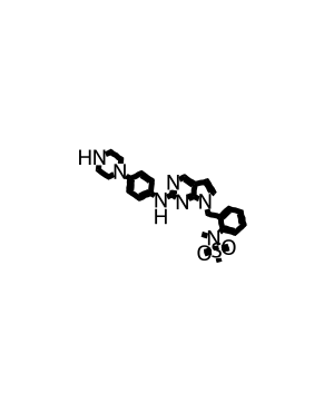 CN(c1ccccc1Cn1ccc2cnc(Nc3ccc(N4CCNCC4)cc3)nc21)S(C)(=O)=O